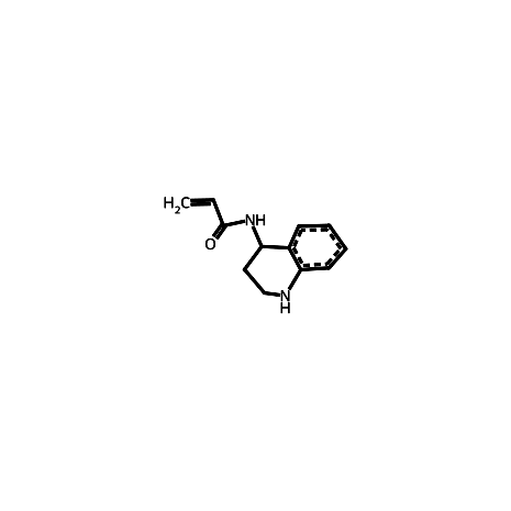 C=CC(=O)NC1CCNc2ccccc21